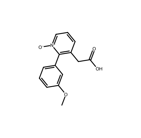 COc1cccc(-c2c(CC(=O)O)ccc[n+]2[O-])c1